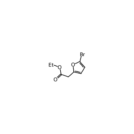 CCOC(=O)Cc1ccc(Br)o1